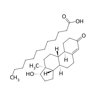 CCCCCCCCCCCC(=O)O.C[C@]12CC[C@H]3[C@@H](CCC4=CC(=O)CC[C@@H]43)[C@@H]1CC[C@@H]2O